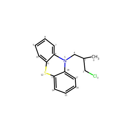 CC(CCl)CN1c2ccccc2Sc2ccccc21